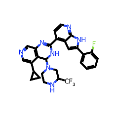 Fc1ccccc1-c1cc2c(C3=Nc4cncc(C5CC5)c4C(N4CCNC(C(F)(F)F)C4)N3)ccnc2[nH]1